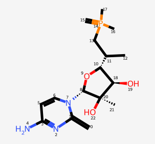 C=C1N=C(N)C=CN1[C@@H]1O[C@H](C(C)CP(=C)(C)C)[C@@H](O)[C@@]1(C)O